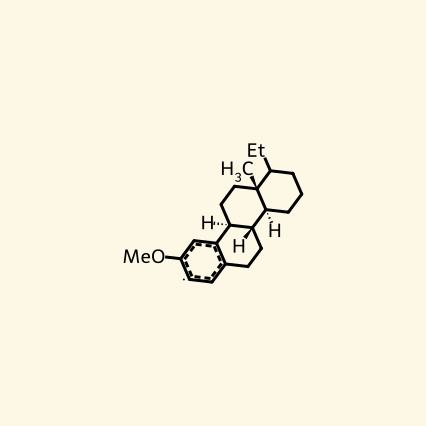 CCC1CCC[C@H]2[C@@H]3CCc4c[c]c(OC)cc4[C@H]3CC[C@]12C